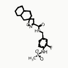 CS(=O)(=O)Nc1ccc(CNC(=O)C2=NOC3(CCC4CCCCC4C3)C2)cc1F